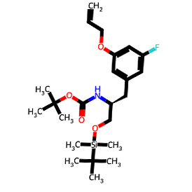 C=CCOc1cc(F)cc(C[C@@H](CO[Si](C)(C)C(C)(C)C)NC(=O)OC(C)(C)C)c1